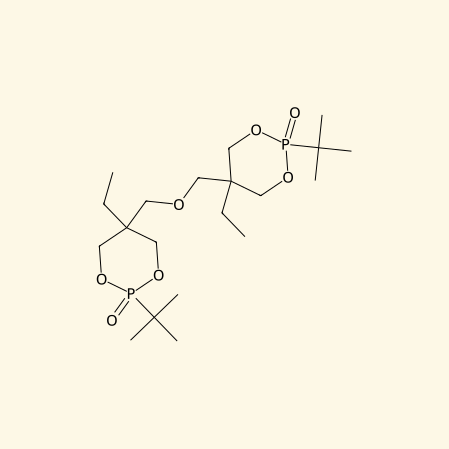 CCC1(COCC2(CC)COP(=O)(C(C)(C)C)OC2)COP(=O)(C(C)(C)C)OC1